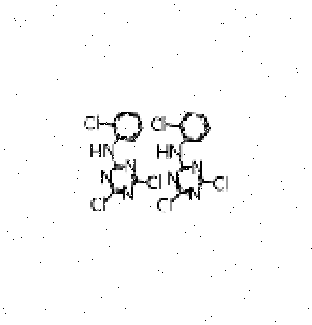 Clc1nc(Cl)nc(Nc2ccccc2Cl)n1.Clc1nc(Cl)nc(Nc2ccccc2Cl)n1